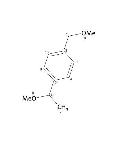 COCc1ccc(C(C)OC)cc1